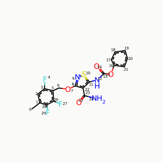 Cc1cc(F)c(COc2nsc(NC(=O)Oc3ccccc3)c2C(N)=O)c(F)c1F